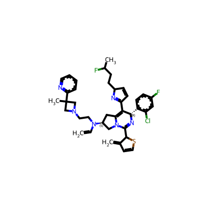 C=CN(CCN1CC(C)(c2ccccn2)C1)[C@H]1CC2=C(C3=NC(CCC(C)F)C=C3)[C@H](c3ccc(F)cc3Cl)N=C(C3SC=CC3=C)N2C1